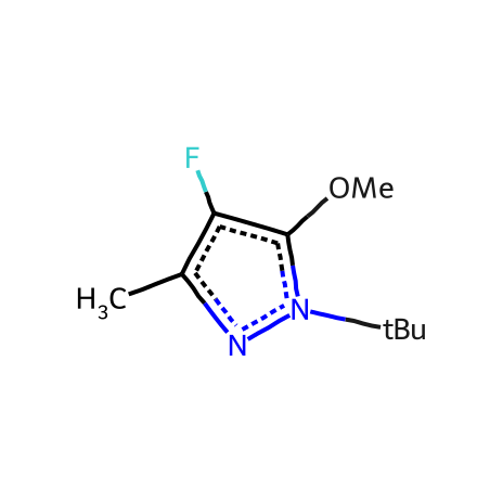 COc1c(F)c(C)nn1C(C)(C)C